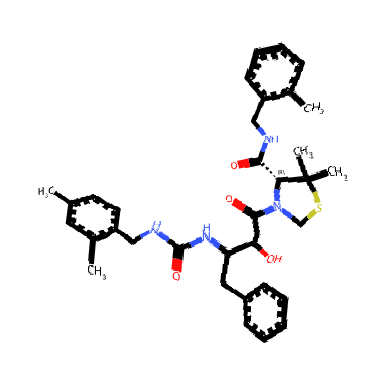 Cc1ccc(CNC(=O)NC(Cc2ccccc2)C(O)C(=O)N2CSC(C)(C)[C@H]2C(=O)NCc2ccccc2C)c(C)c1